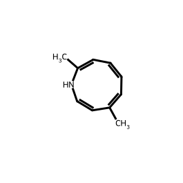 Cc1ccccc(C)[nH]cc1